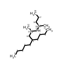 CCCCCC(CCCC)CN(C)PN(C)CCC